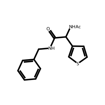 CC(=O)NC(C(=O)NCc1ccccc1)c1ccsc1